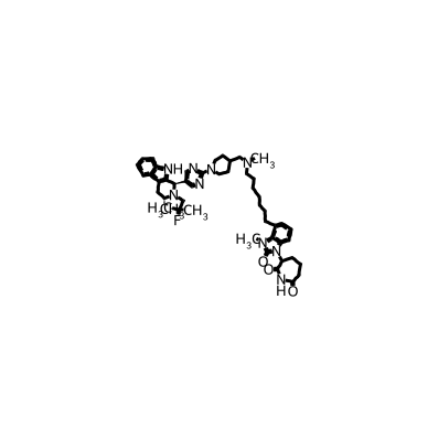 C[C@@H]1Cc2c([nH]c3ccccc23)[C@@H](c2cnc(N3CCC(CN(C)CCCCCCCc4cccc5c4n(C)c(=O)n5C4CCCC(=O)NC4=O)CC3)nc2)N1CC(C)(C)F